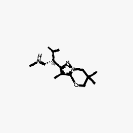 CNC[C@@H](c1nn2c(c1C)OCC(C)(C)C2)C(C)C